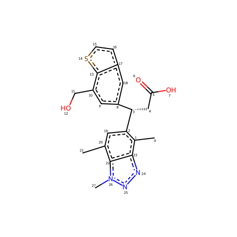 Cc1c([C@@H](CC(=O)O)c2cc(CO)c3sccc3c2)cc(C)c2c1nnn2C